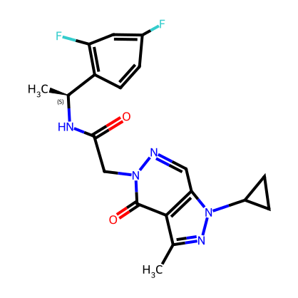 Cc1nn(C2CC2)c2cnn(CC(=O)N[C@@H](C)c3ccc(F)cc3F)c(=O)c12